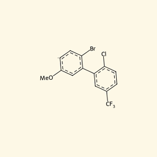 COc1[c]cc(Br)c(-c2cc(C(F)(F)F)ccc2Cl)c1